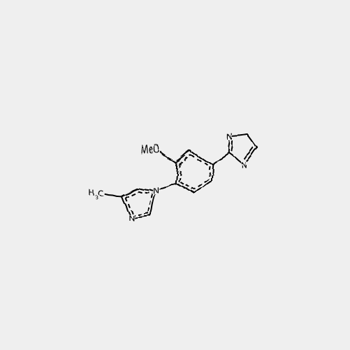 COc1cc(C2=NCC=N2)ccc1-n1cnc(C)c1